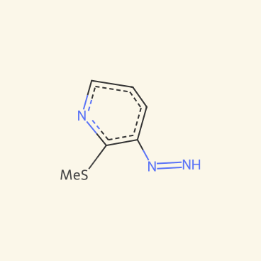 CSc1ncccc1N=N